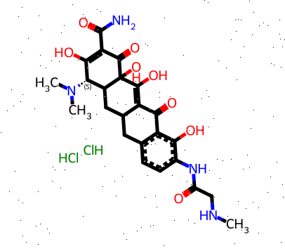 CNCC(=O)Nc1ccc2c(c1O)C(=O)C1=C(O)C3(O)C(=O)C(C(N)=O)=C(O)[C@@H](N(C)C)C3CC1C2.Cl.Cl